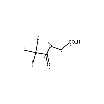 CC(F)(F)C(=O)OCC(=O)O